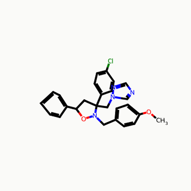 COc1ccc(CN2OC(c3ccccc3)CC2(Cn2cncn2)c2ccc(Cl)cc2)cc1